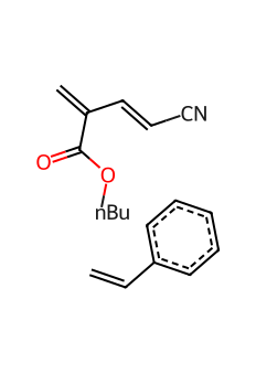 C=C(C=CC#N)C(=O)OCCCC.C=Cc1ccccc1